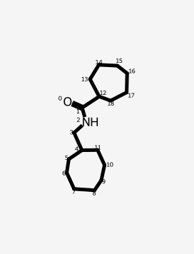 O=C(NCC1CCCCCCC1)C1CCCCCC1